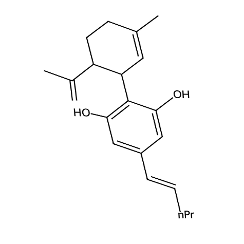 C=C(C)C1CCC(C)=CC1c1c(O)cc(/C=C/CCC)cc1O